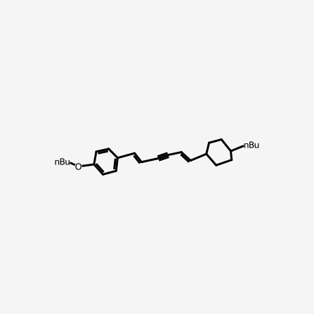 CCCCOc1ccc(C=CC#CC=CC2CCC(CCCC)CC2)cc1